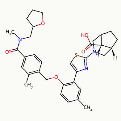 Cc1ccc(OCc2ccc(C(=O)N(C)CC3CCCO3)cc2C)c(-c2csc(N3CC4CC[C@H](C3)[C@@H]4C(=O)O)n2)c1